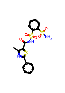 Cc1nc(-c2ccccc2)sc1C(=O)NS(=O)(=O)c1ccccc1S(N)(=O)=O